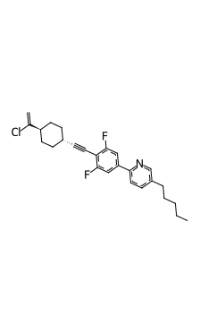 C=C(Cl)[C@H]1CC[C@H](C#Cc2c(F)cc(-c3ccc(CCCCC)cn3)cc2F)CC1